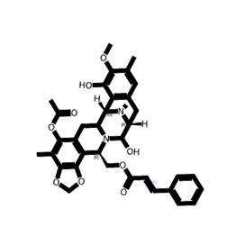 COc1c(C)cc2c(c1O)[C@H]1C3Cc4c(OC(C)=O)c(C)c5c(c4[C@H](COC(=O)/C=C/c4ccccc4)N3C(O)[C@@H](C2)N1C)OCO5